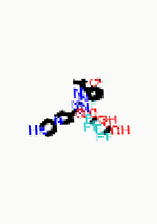 COc1ccc(F)c2c1c(C(C)C)nn2-c1noc(C2CCN(C3CCNCC3)CC2)n1.O=C(O)C(F)(F)F.O=C(O)C(F)(F)F